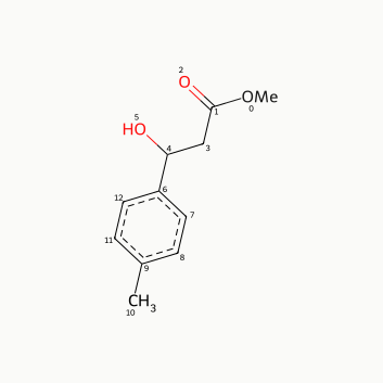 COC(=O)CC(O)c1ccc(C)cc1